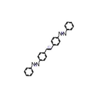 C(=C\c1ccc(/N=N/c2ccccc2)cc1)/c1ccc(/N=N/c2ccccc2)cc1